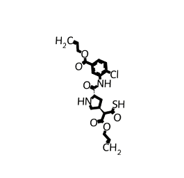 C=CCOC(=O)c1ccc(Cl)c(NC(=O)[C@@H]2C[C@@H](C(C(=O)S)C(=O)OCC=C)CN2)c1